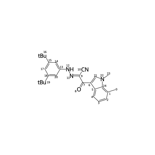 Cc1cccc2c(C(=O)/C(C#N)=N/Nc3cc(C(C)(C)C)cc(C(C)(C)C)c3)cn(C)c12